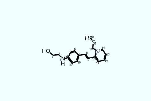 OCCNc1ccc(/C=C/c2cccc[n+]2CSS)cc1